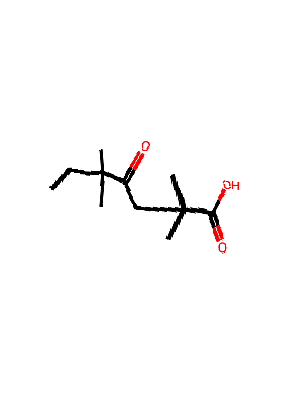 CCC(C)(C)C(=O)CC(C)(C)C(=O)O